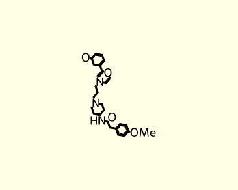 COc1ccc(CC(=O)NC2CCN(CCCN3C=COC(C4=CC=CC(=O)C4)=C3)CC2)cc1